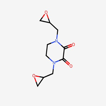 O=C1C(=O)N(CC2CO2)CCN1CC1CO1